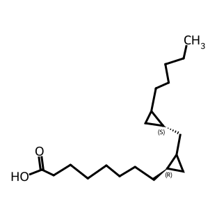 CCCCCC1C[C@H]1CC1C[C@H]1CCCCCCCC(=O)O